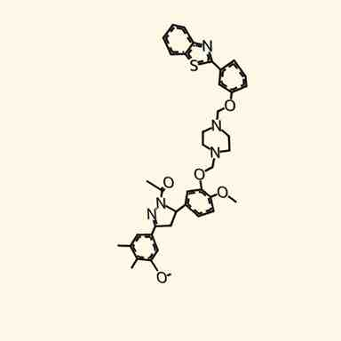 COc1ccc(C2CC(c3cc(C)c(C)c(OC)c3)=NN2C(C)=O)cc1OCN1CCN(COc2cccc(-c3nc4ccccc4s3)c2)CC1